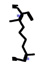 C=C/C(C#N)=C(/C)CCCC/C(C)=C\CC